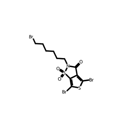 O=C1c2c(Br)sc(Br)c2S(=O)(=O)N1CCCCCCBr